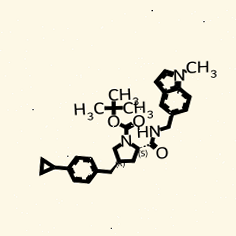 Cn1ccc2cc(CNC(=O)[C@@H]3C[C@@H](Cc4ccc(C5CC5)cc4)CN3C(=O)OC(C)(C)C)ccc21